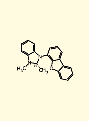 C[C@@H]1N(C)c2ccccc2N1c1cccc2c1oc1ccccc12